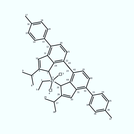 C[CH2][Zr]([Cl])([Cl])([CH]1C(C(C)C)=Cc2c(-c3ccc(C)cc3)ccc(C)c21)[CH]1C(C(C)C)=Cc2c(-c3ccc(C)cc3)ccc(C)c21